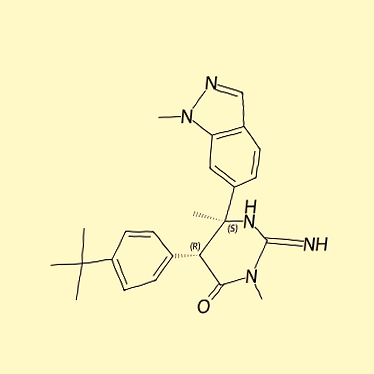 CN1C(=N)N[C@](C)(c2ccc3cnn(C)c3c2)[C@@H](c2ccc(C(C)(C)C)cc2)C1=O